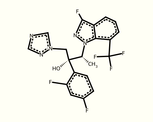 C[C@@H](n1nc(F)c2cccc(C(F)(F)F)c21)[C@](O)(Cn1cncn1)c1ccc(F)cc1F